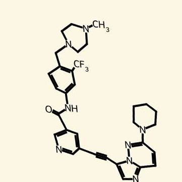 CN1CCN(Cc2ccc(NC(=O)c3cncc(C#Cc4cnc5ccc(N6CCCCC6)nn45)c3)cc2C(F)(F)F)CC1